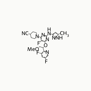 COCC(Oc1nc(Nc2cc(C)[nH]n2)nc(N2CCC(C#N)CC2)c1F)c1ncc(F)cc1F